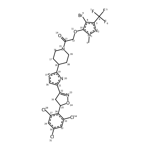 Cn1nc(C(F)(F)F)c(Br)c1OCC(=O)N1CCC(c2nc(C3=NOC(c4c(Cl)cc(Cl)cc4Cl)C3)cs2)CC1